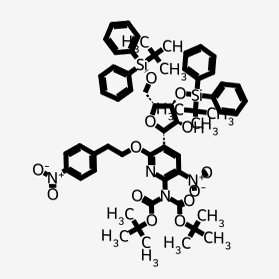 CC(C)(C)OC(=O)N(C(=O)OC(C)(C)C)c1nc(OCCc2ccc([N+](=O)[O-])cc2)c([C@@H]2O[C@H](CO[Si](c3ccccc3)(c3ccccc3)C(C)(C)C)[C@H](O[Si](c3ccccc3)(c3ccccc3)C(C)(C)C)[C@H]2O)cc1[N+](=O)[O-]